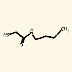 CCCCNC(=O)CS